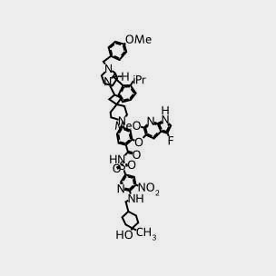 COc1ccc(CN2CC3CCC2[C@H](c2ccccc2C(C)C)N3C2CC3(CCN(c4ccc(C(=O)NS(=O)(=O)c5cnc(NCC6CCC(C)(O)CC6)c([N+](=O)[O-])c5)c(Oc5cc6c(F)c[nH]c6nc5OC)c4)CC3)C2)cc1